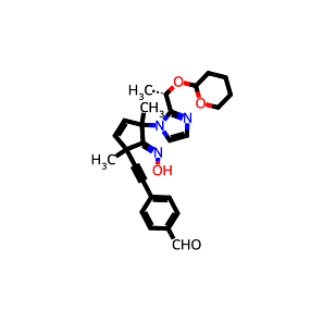 C[C@H](OC1CCCCO1)c1nccn1C1(C)C=CC(C)(C#Cc2ccc(C=O)cc2)/C1=N\O